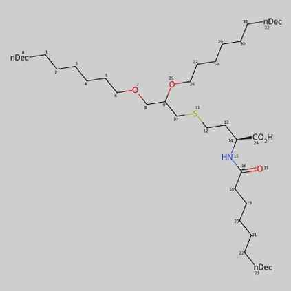 CCCCCCCCCCCCCCCCOCC(CSCC[C@H](NC(=O)CCCCCCCCCCCCCCC)C(=O)O)OCCCCCCCCCCCCCCCC